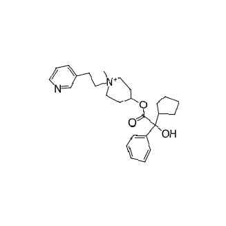 C[N+]1(CCc2cccnc2)CCC(OC(=O)C(O)(c2ccccc2)C2CCCC2)CC1